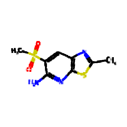 Cc1nc2cc(S(C)(=O)=O)c(N)nc2s1